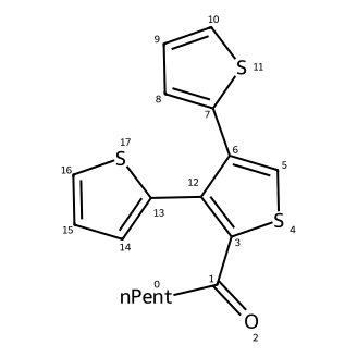 CCCCCC(=O)c1scc(-c2cccs2)c1-c1cccs1